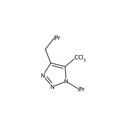 CC(C)Cc1nnn(C(C)C)c1C(Cl)(Cl)Cl